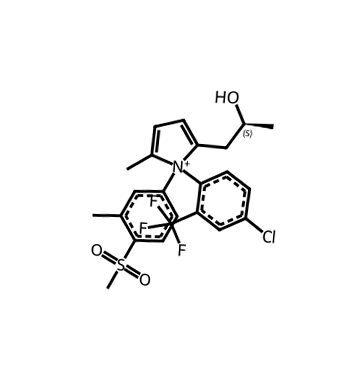 CC1=CC=C(C[C@H](C)O)[N+]1(c1ccc(S(C)(=O)=O)c(C)c1)c1ccc(Cl)cc1C(F)(F)F